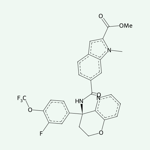 COC(=O)c1cc2ccc(C(=O)N[C@]3(c4ccc(OC(F)(F)F)c(F)c4)CCOc4cccnc43)cc2n1C